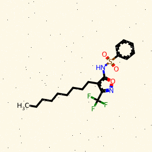 CCCCCCCCCc1c(C(F)(F)F)noc1NS(=O)(=O)c1ccccc1